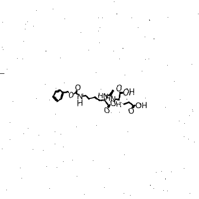 C=C(NC(CCCCNC(=O)OCc1ccccc1)C(=O)O)N[C@@H](CCC(=O)O)C(=O)O